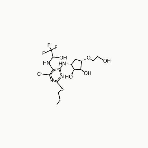 CCCSc1nc(Cl)c(NC(O)C(F)(F)F)c(N[C@@H]2C[C@H](OCCO)[C@@H](O)[C@H]2O)n1